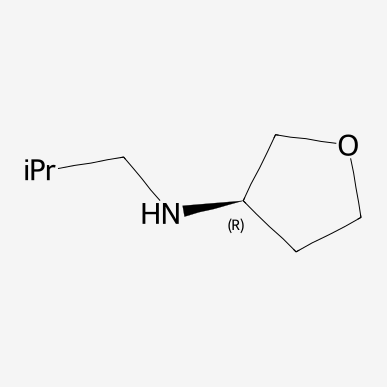 CC(C)CN[C@@H]1CCOC1